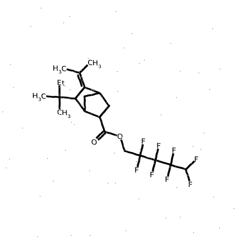 CCC(C)(C)C1C(=C(C)C)C2CC(C(=O)OCC(F)(F)C(F)(F)C(F)(F)C(F)F)C1C2